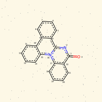 O=c1nc2c3ccccc3c3ccccc3n2c2ccccc12